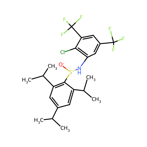 CC(C)c1cc(C(C)C)c([S+]([O-])Nc2cc(C(F)(F)F)cc(C(F)(F)F)c2Cl)c(C(C)C)c1